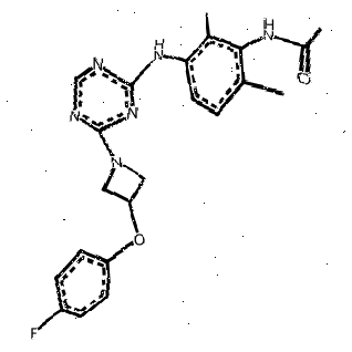 CC(=O)Nc1c(C)ccc(Nc2ncnc(N3CC(Oc4ccc(F)cc4)C3)n2)c1C